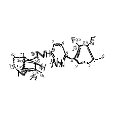 Cc1ccc(-c2ccc(N[C@H]3C4CCN(CC4)[C@@H]3C)nn2)c(F)c1F